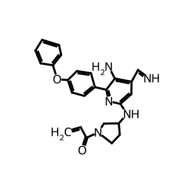 C=CC(=O)N1CCC(Nc2cc(C=N)c(N)c(-c3ccc(Oc4ccccc4)cc3)n2)C1